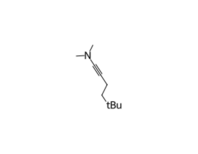 CN(C)C#CCCC(C)(C)C